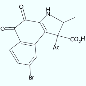 CC(=O)C1(C(=O)O)C2=C(NC1C)C(=O)C(=O)c1ccc(Br)cc12